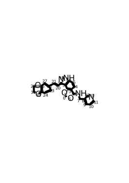 COc1c(C(=O)NCc2cccnc2)ccc2[nH]nc(/C=C/c3ccc4c(c3)OCCO4)c12